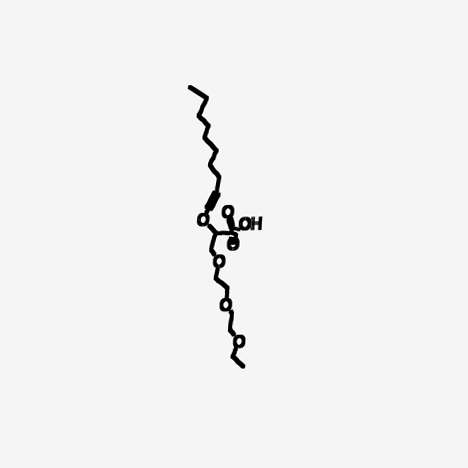 CCCCCCCCC#COC(COCCOCCOCC)S(=O)(=O)O